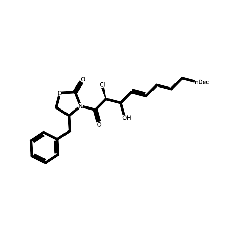 CCCCCCCCCCCCC/C=C/C(O)[C@H](Cl)C(=O)N1C(=O)OCC1Cc1ccccc1